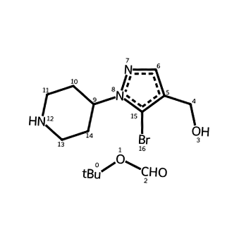 CC(C)(C)OC=O.OCc1cnn(C2CCNCC2)c1Br